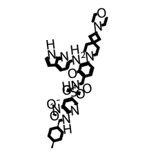 C[C@H]1CC[C@@H](CNc2ncc(S(=O)(=O)NC(=O)c3ccc(N4CCC5(CC4)CC(N4CCOCC4)C5)cc3Oc3cc4cc[nH]c4nc3N)cc2[N+](=O)[O-])CC1